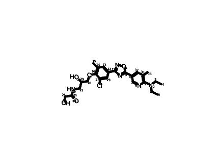 CCN(CC)c1ncc(-c2nc(-c3cc(C)c(OCC(O)CNC(=O)CO)c(Cl)c3)no2)cc1C